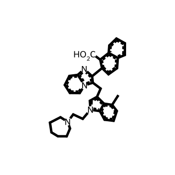 Cc1cccc2c1c(Cc1c(-c3ccc4ccccc4c3C(=O)O)nc3ccccn13)cn2CCN1CCCCCC1